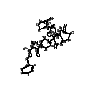 C[C@@H](OCc1ccccc1)[C@H](N)C(=O)N1CCN(C2(OC[C@@H]3CCCN3C)NC=C3CCNCC3=C2C#N)CC1